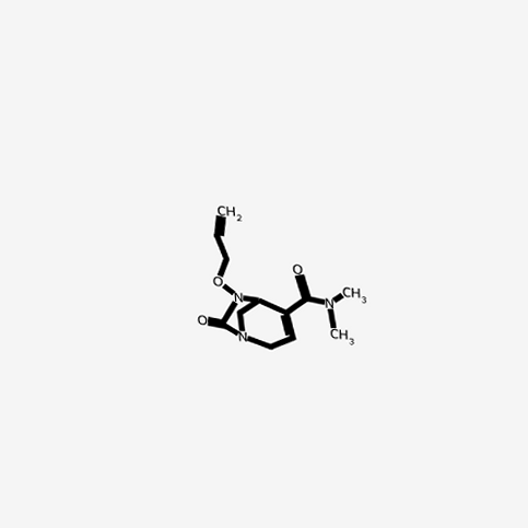 C=CCON1C(=O)N2CC=C(C(=O)N(C)C)C1C2